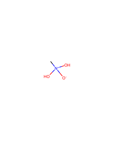 C[N+]([O-])(O)O